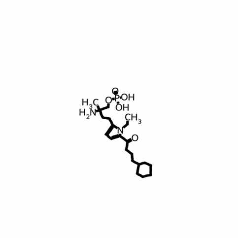 CCn1c(CCC(C)(N)COP(=O)(O)O)ccc1C(=O)CCCC1CCCCC1